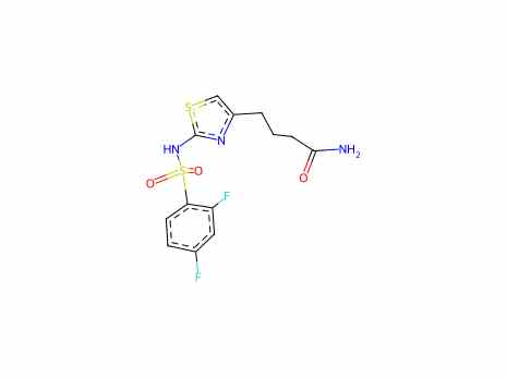 NC(=O)CCCc1csc(NS(=O)(=O)c2ccc(F)cc2F)n1